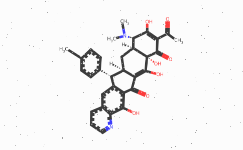 CC(=O)C1=C(O)[C@@H](N(C)C)[C@@H]2C[C@H]3C(=C(O)[C@]2(O)C1=O)C(=O)c1c(cc2cccnc2c1O)[C@@H]3c1ccc(C)cc1